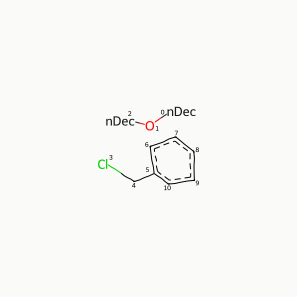 CCCCCCCCCCOCCCCCCCCCC.ClCc1ccccc1